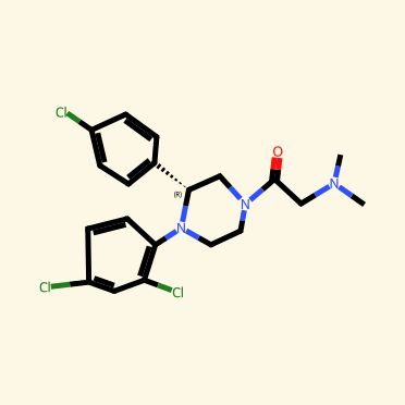 CN(C)CC(=O)N1CCN(c2ccc(Cl)cc2Cl)[C@H](c2ccc(Cl)cc2)C1